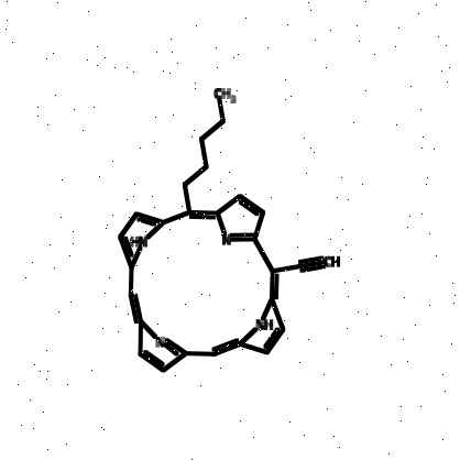 C#Cc1c2nc(c(CCCCC)c3ccc(cc4nc(cc5ccc1[nH]5)C=C4)[nH]3)C=C2